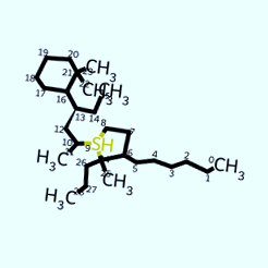 CCCCCCC1CC[SH](C(C)C[C@H](CC)C2CCCCC2(C)C)C1(C)CCC